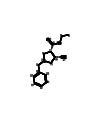 CCOC(=O)[C@H]1CN(Cc2ccccc2)C[C@H]1O